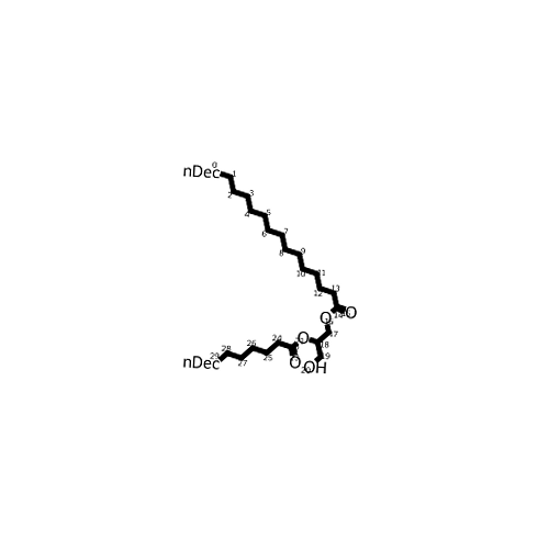 CCCCCCCCCCCCCCCCCCCCCCCC(=O)OCC(CO)OC(=O)CCCCCCCCCCCCCCC